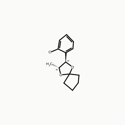 [CH2][C@H]1OC2(CCCC2)O[C@@H]1c1ccccc1Cl